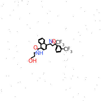 O=C(NCCCO)c1ccc(C2=NOC(c3cccc(C(F)(F)F)c3)(C(F)(F)F)C2)c2ccccc12